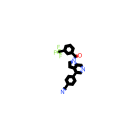 N#Cc1ccc(-c2cncc3c2ccn3C(=O)c2cccc(C(F)(F)F)c2)cc1